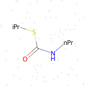 CCCNC(=O)SC(C)C